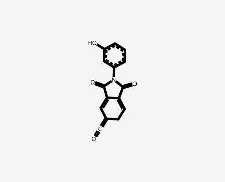 O=C=C1C=C2C(=O)N(c3cccc(O)c3)C(=O)C2=CC1